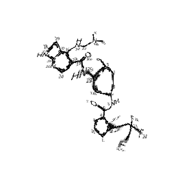 Cc1ccc(NC(=O)c2cccc(C(F)(F)F)c2)cc1NC(=O)c1cnc2[nH]ccc2c1NCN(C)C